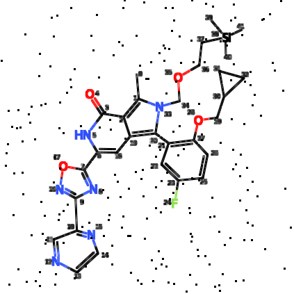 Cc1c2c(=O)[nH]c(-c3nc(-c4cnccn4)no3)cc2c(-c2cc(F)ccc2OCC2CC2)n1COCC[Si](C)(C)C